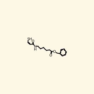 O=C(/C=C\S)NCCCCCC(=O)OCc1ccccc1